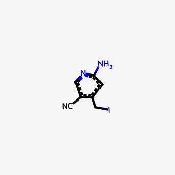 N#Cc1cnc(N)cc1CI